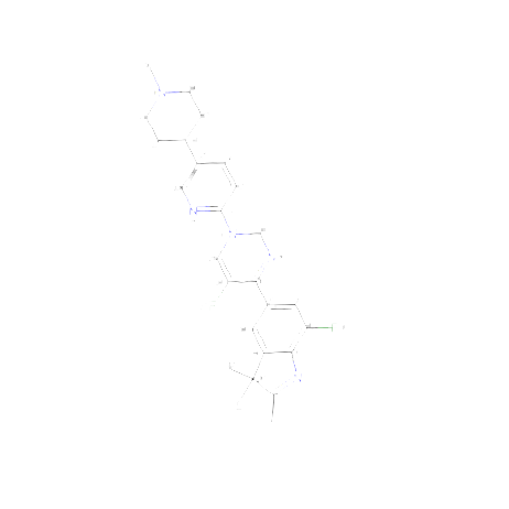 CC1=Nc2c(F)cc(C3=NCN(c4ccc(C5CCN(C)CC5)cn4)C=C3F)cc2C1(C)C